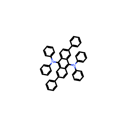 c1ccc(-c2ccc3c(N(c4ccccc4)c4ccccc4)c4cc(-c5ccccc5)ccc4c(N(c4ccccc4)c4ccccc4)c3c2)cc1